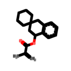 C=C(C)C(=O)OC1CC2(CCCCC2)Cc2ccccc21